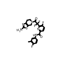 Cc1cc(NC(=O)c2ccc(F)c(C(F)(F)C(=O)N3CCc4nc(N)sc4C3)n2)ccc1F